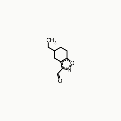 CCC1CCc2onc(C=O)c2C1